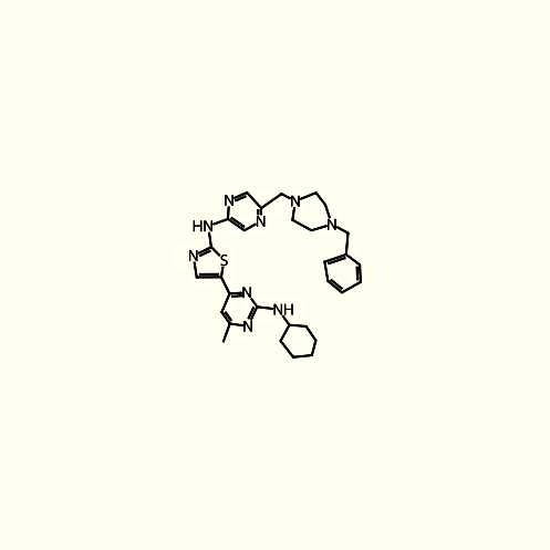 Cc1cc(-c2cnc(Nc3cnc(CN4CCN(Cc5ccccc5)CC4)cn3)s2)nc(NC2CCCCC2)n1